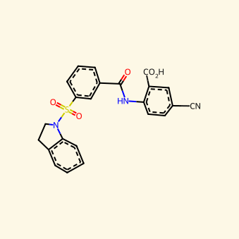 N#Cc1ccc(NC(=O)c2cccc(S(=O)(=O)N3CCc4ccccc43)c2)c(C(=O)O)c1